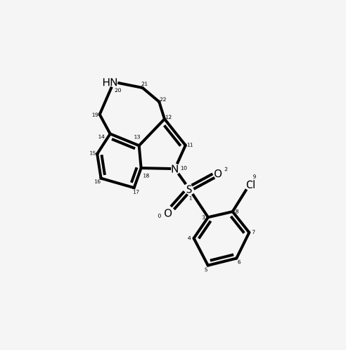 O=S(=O)(c1ccccc1Cl)n1cc2c3c(cccc31)CNCC2